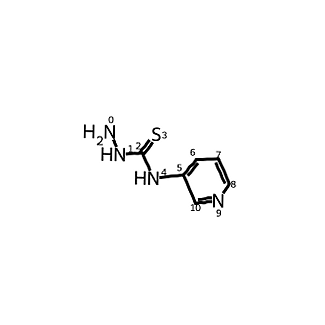 NNC(=S)Nc1cccnc1